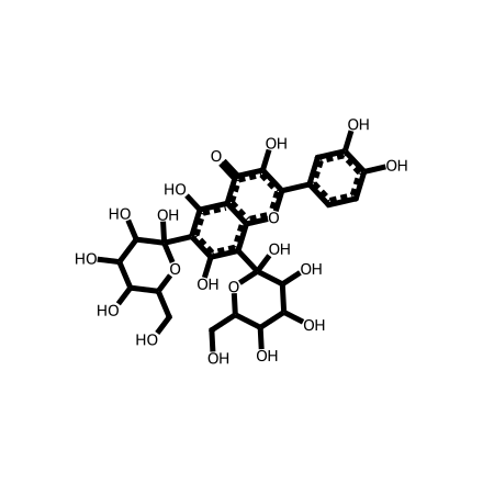 O=c1c(O)c(-c2ccc(O)c(O)c2)oc2c(C3(O)OC(CO)C(O)C(O)C3O)c(O)c(C3(O)OC(CO)C(O)C(O)C3O)c(O)c12